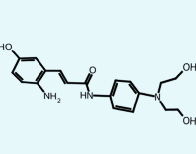 Nc1ccc(O)cc1/C=C/C(=O)Nc1ccc(N(CCO)CCO)cc1